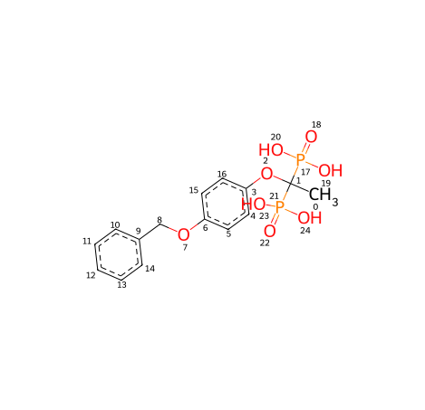 CC(Oc1ccc(OCc2ccccc2)cc1)(P(=O)(O)O)P(=O)(O)O